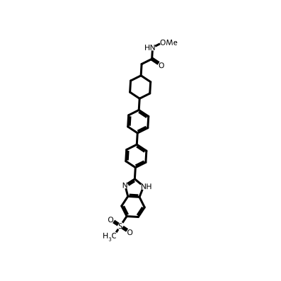 CONC(=O)CC1CCC(c2ccc(-c3ccc(-c4nc5cc(S(C)(=O)=O)ccc5[nH]4)cc3)cc2)CC1